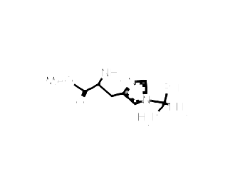 COC(=O)C(N)Cc1cn(C(P)(P)P)cn1